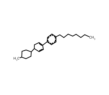 CCCCCCCCc1ccc(C2=CCC(C3CCC(C)CC3)C=C2)cc1